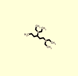 CCCC(CCN(CC)CC)N(CC)CC